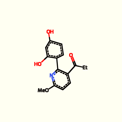 CCC(=O)c1ccc(OC)nc1-c1ccc(O)cc1O